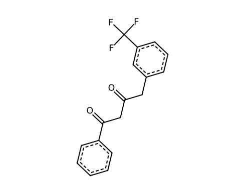 O=C(CC(=O)c1ccccc1)Cc1cccc(C(F)(F)F)c1